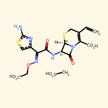 C=CC1=C(C(=O)O)N2C(=O)[C@@H](NC(=O)C(=NOCC(=O)O)c3csc(N)n3)[C@H]2SC1.CS(=O)(=O)O